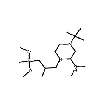 CO[Si](C)(CC(C)CN1CCN(C(C)(C)C)CC1[SiH](C)C)OC